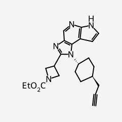 C#CC[C@H]1CC[C@H](n2c(C3CN(C(=O)OCC)C3)nc3cnc4[nH]ccc4c32)CC1